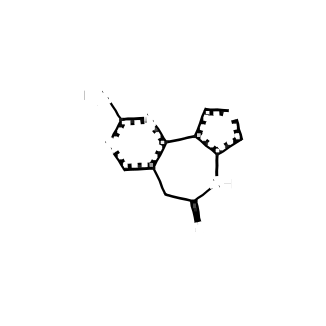 Nc1ncc2c(n1)-c1cscc1NC(=O)C2